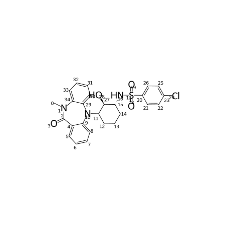 CN1C(=O)c2ccccc2N(C2CCC[C@@H](NS(=O)(=O)c3ccc(Cl)cc3)[C@@H]2O)c2ccccc21